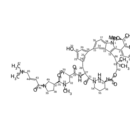 CCn1c(-c2cccnc2[C@H](C)OC)c2c3cc(ccc31)-c1cc(O)cc(c1)C[C@H](NC(=O)C(CN(C)C(=O)[C@H]1CCN(C(=O)/C=C/CN(C)C)C1)C(C)C)C(=O)N1CCC[C@H](N1)C(=O)OCC(C)(C)C2